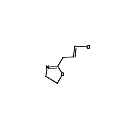 ClC=CCC1=NCCO1